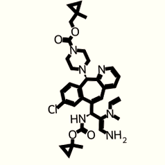 C=CN(C)/C(=C\N)[C@H](NC(=O)OC1(C)CC1)C1=Cc2cccnc2[C@@H](N2CCN(C(=O)OCC3(C)CC3)CC2)c2ccc(Cl)cc21